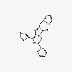 O=c1c(Cc2ccco2)nc2c(-c3ccsc3)[nH]c(-c3ccccc3)cn1-2